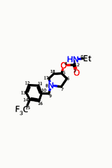 CCNC(=O)OC1CCN(Cc2cccc(C(F)(F)F)c2)CC1